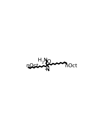 CCCCCCCC/C=C\CCCCCCCCC(CCCCCCCC/C=C\CCCCCCCC)(CC(N)=O)CN(C)C